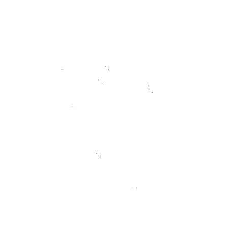 C[C@@H]1CCCC(=O)c2cc(ccn2)-c2c(cnn2C(F)F)NC1=O